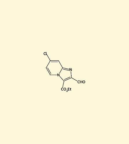 CCOC(=O)c1c(C=O)nc2cc(Cl)ccn12